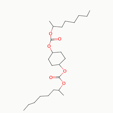 CCCCCCC(C)OC(=O)OC1CCC(OC(=O)OC(C)CCCCCC)CC1